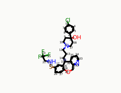 OC1(c2ccc(Cl)cc2)CCN(CC/C=C2/c3cc(SNCC(F)(F)F)ccc3OCc3ncccc32)CC1